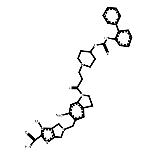 CCn1c(C(N)=O)nc2c1CN(Cc1cc3c(cc1OC)N(C(=O)CCN1CCC(OC(=O)Nc4ccccc4-c4ccccc4)CC1)CC3)C2